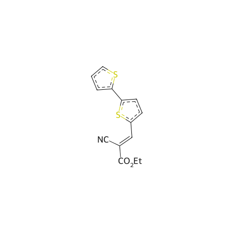 CCOC(=O)C(C#N)=Cc1ccc(-c2cccs2)s1